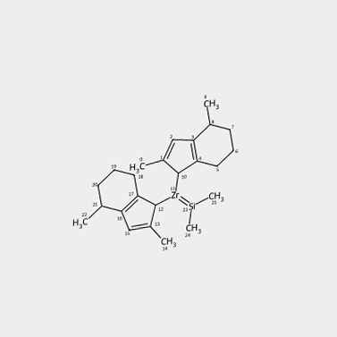 CC1=CC2=C(CCCC2C)[CH]1[Zr]([CH]1C(C)=CC2=C1CCCC2C)=[Si](C)C